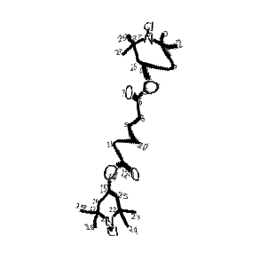 CC1(C)CC(OC(=O)CCCCC(=O)OC2CC(C)(C)N(Cl)C(C)(C)C2)CC(C)(C)N1Cl